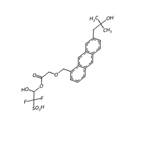 CC(C)(O)Cc1ccc2cc3cccc(COCC(=O)OC(O)C(F)(F)S(=O)(=O)O)c3cc2c1